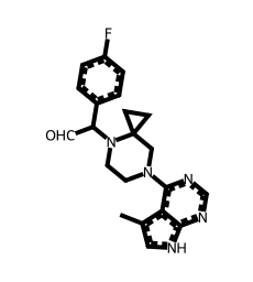 Cc1c[nH]c2ncnc(N3CCN(C(C=O)c4ccc(F)cc4)C4(CC4)C3)c12